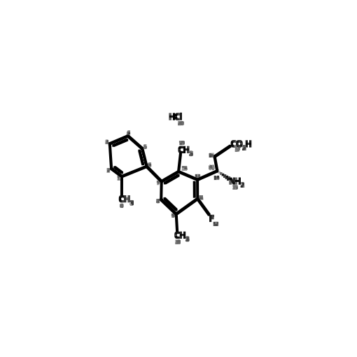 Cc1ccccc1-c1cc(C)c(F)c([C@@H](N)CC(=O)O)c1C.Cl